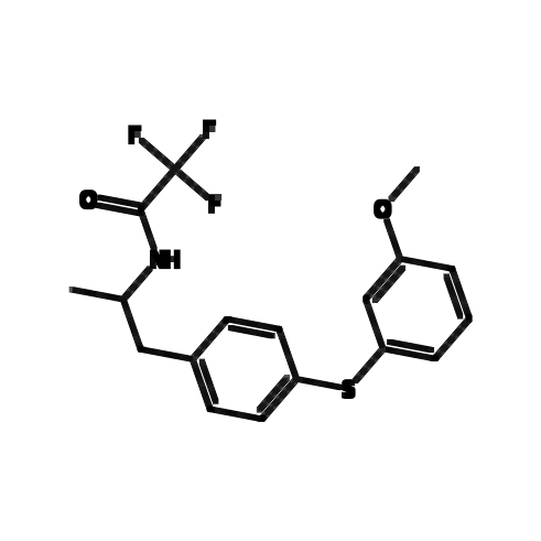 COc1cccc(Sc2ccc(CC(C)NC(=O)C(F)(F)F)cc2)c1